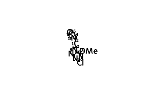 COc1nc(Cl)nc2ncn(CCCN3CCOCC3)c12